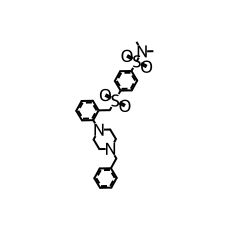 CN(C)S(=O)(=O)c1ccc(S(=O)(=O)Cc2ccccc2N2CCN(Cc3ccccc3)CC2)cc1